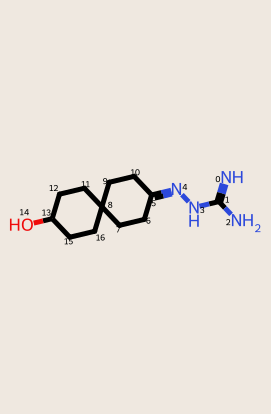 N=C(N)NN=C1CCC2(CC1)CCC(O)CC2